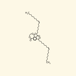 CCCCCCCC/C=C\CCCCCCCC(=O)c1ccc2c(c1C(=O)CCCCCCC/C=C\CCCCCCCC)C(=O)OCCOC2=O